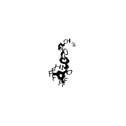 CCC1CCCN1C(=O)CN1CCC(CNC(=O)c2cc(C(F)(F)F)cc(C(F)(F)F)c2)CC1